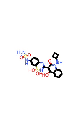 NS(=O)(=O)Nc1ccc2c(c1)S(O)(O)N=C(c1c(O)c3ccccc3n(NC3CCC3)c1=O)N2